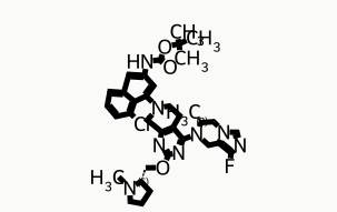 C[C@@H]1Cn2cnc(F)c2CN1c1nc(OC[C@@H]2CCCN2C)nc2c1CCN(c1cc(NC(=O)OC(C)(C)C)cc3cccc(Cl)c13)C2